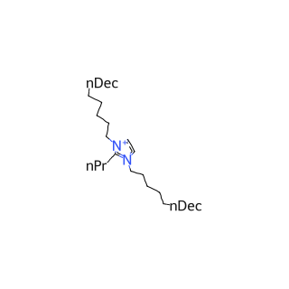 CCCCCCCCCCCCCCCn1cc[n+](CCCCCCCCCCCCCCC)c1CCC